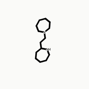 C1CCNC(CCN2CCCCCC2)CC1